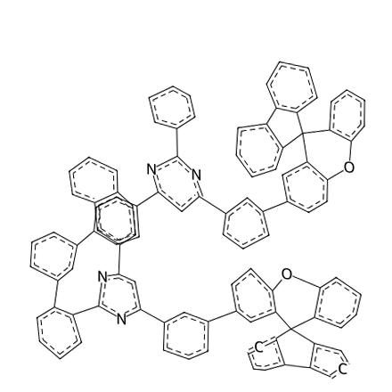 c1ccc(-c2nc(-c3ccc(-c4cccc(-c5ccccc5-c5nc(-c6cccc(-c7ccc8c(c7)C7(c9ccccc9O8)c8ccccc8-c8ccccc87)c6)cc(-c6ccc7ccccc7c6)n5)c4)cc3)cc(-c3cccc(-c4ccc5c(c4)C4(c6ccccc6O5)c5ccccc5-c5ccccc54)c3)n2)cc1